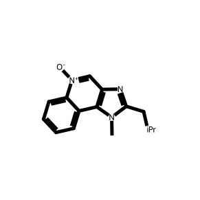 CC(C)Cc1nc2c[n+]([O-])c3ccccc3c2n1C